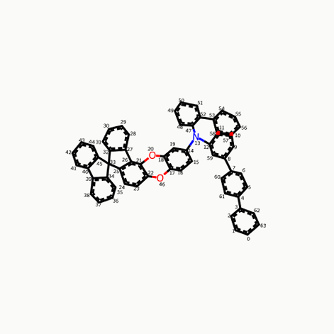 c1ccc(-c2ccc(-c3cccc(N(c4ccc5c(c4)Oc4c(ccc6c4-c4ccccc4C64c6ccccc6-c6ccccc64)O5)c4ccccc4-c4ccccc4)c3)cc2)cc1